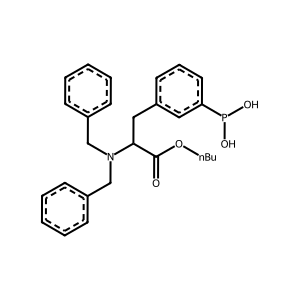 CCCCOC(=O)C(Cc1cccc(P(O)O)c1)N(Cc1ccccc1)Cc1ccccc1